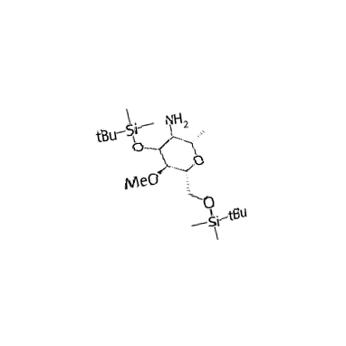 CO[C@H]1C(O[Si](C)(C)C(C)(C)C)C(N)[C@H](C)O[C@@H]1CO[Si](C)(C)C(C)(C)C